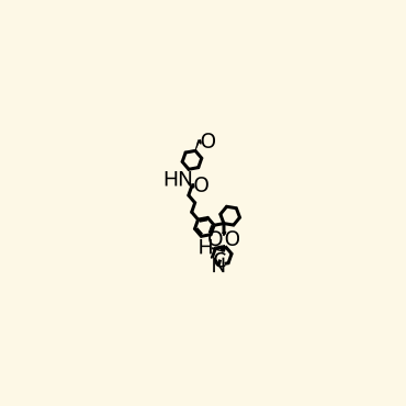 O=C[C@H]1CC[C@H](NC(=O)CCCc2cccc(C3(C(=O)O[C@H]4CN5CCC4CC5)CCCCC3)c2)CC1